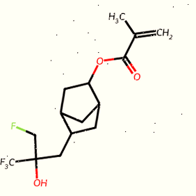 C=C(C)C(=O)OC1CC2CC1CC2CC(O)(CF)C(F)(F)F